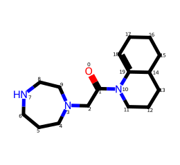 O=C(CN1CCCNCC1)N1CCCC2CCCC=C21